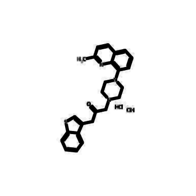 Cc1ccc2cccc(N3CCN(CC(=O)Cc4csc5ccccc45)CC3)c2n1.Cl.Cl